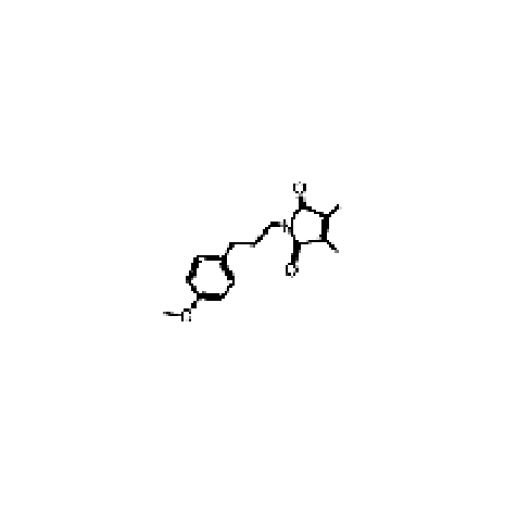 COc1ccc(CCCN2C(=O)C(C)=C(C)C2=O)cc1